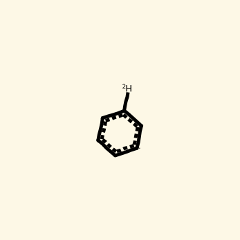 [2H]c1c[c]ccc1